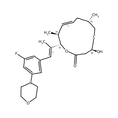 C/C(=C\c1cc(F)cc(N2CCOCC2)c1)[C@H]1OC(=O)C[C@H](O)CC[C@@H](C)[CH]/C=C/[C@@H]1C